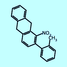 Cc1ccccc1-c1ccc2c(c1[N+](=O)[O-])Cc1ccccc1C2